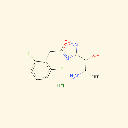 CC(C)[C@H](N)C(O)c1noc(Cc2c(F)cccc2F)n1.Cl